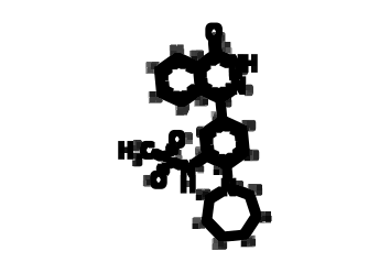 CS(=O)(=O)Nc1cc(-c2n[nH]c(=O)c3ccccc23)ccc1N1CCCCCC1